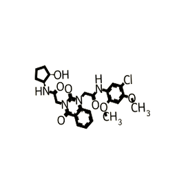 COc1cc(OC)c(NC(=O)Cn2c(=O)n(CC(=O)N[C@H]3CCC[C@@H]3O)c(=O)c3ccccc32)cc1Cl